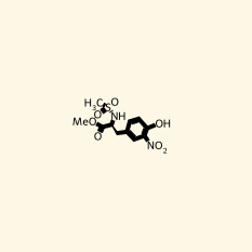 COC(=O)[C@H](Cc1ccc(O)c([N+](=O)[O-])c1)NS(C)(=O)=O